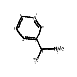 CCC(NC)c1cccnc1